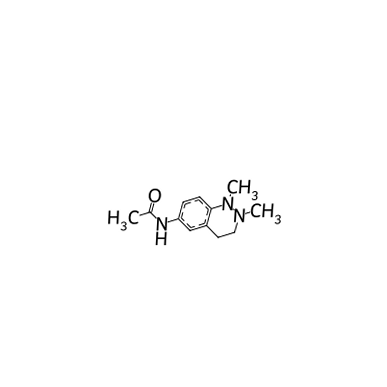 CC(=O)Nc1ccc2c(c1)CCN(C)N2C